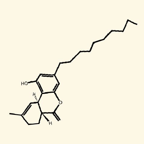 C=C1Oc2cc(CCCCCCCCCC)cc(O)c2[C@@H]2C=C(C)CC[C@@H]12